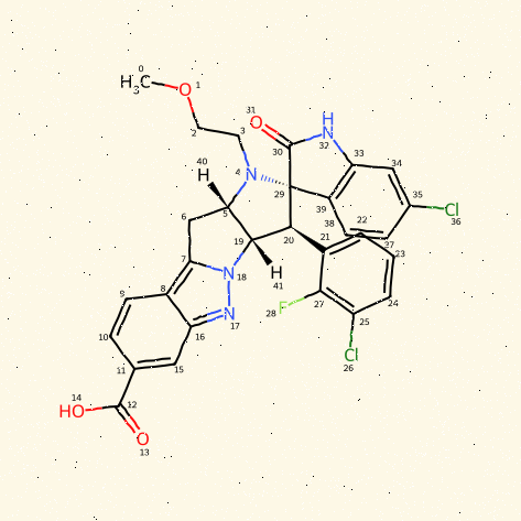 COCCN1[C@H]2Cc3c4ccc(C(=O)O)cc4nn3[C@H]2[C@H](c2cccc(Cl)c2F)[C@]12C(=O)Nc1cc(Cl)ccc12